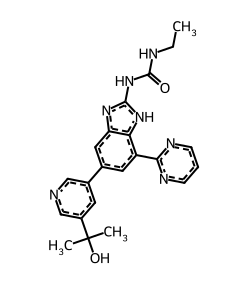 CCNC(=O)Nc1nc2cc(-c3cncc(C(C)(C)O)c3)cc(-c3ncccn3)c2[nH]1